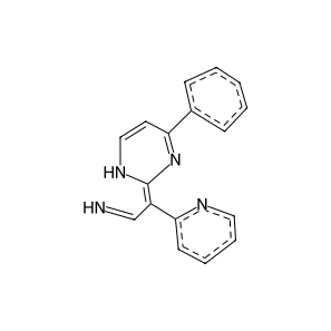 N=C/C(=C1/N=C(c2ccccc2)C=CN1)c1ccccn1